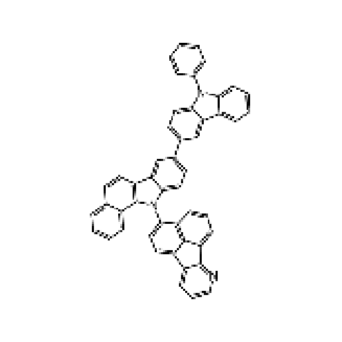 c1ccc(-n2c3ccccc3c3cc(-c4ccc5c(c4)c4ccc6ccccc6c4n5-c4ccc5c6c(cccc46)-c4ncccc4-5)ccc32)cc1